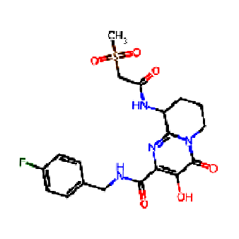 CS(=O)(=O)CC(=O)NC1CCCn2c1nc(C(=O)NCc1ccc(F)cc1)c(O)c2=O